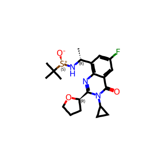 C[C@@H](N[S@+]([O-])C(C)(C)C)c1cc(F)cc2c(=O)n(C3CC3)c([C@H]3CCCO3)nc12